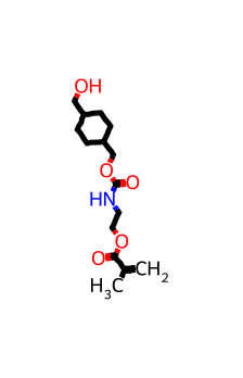 C=C(C)C(=O)OCCNC(=O)OCC1CCC(CO)CC1